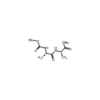 CC(C)COC(=O)[C@@H](C)NC(=O)[C@@H](C)NC(=O)OC(C)(C)C